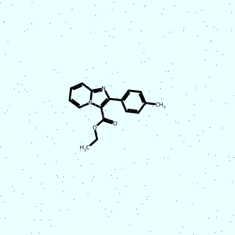 CCOC(=O)c1c(-c2ccc(C)cc2)nc2ccccn12